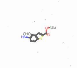 CC(C)(C)OC(=O)c1cc2cc(NC=O)ccc2s1